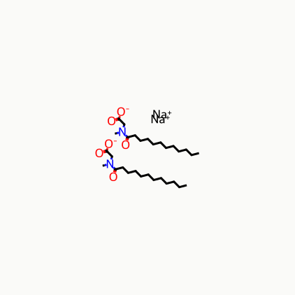 CCCCCCCCCCCC(=O)N(C)CC(=O)[O-].CCCCCCCCCCCC(=O)N(C)CC(=O)[O-].[Na+].[Na+]